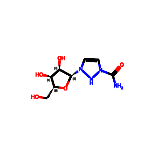 NC(=O)N1C=CN([C@@H]2O[C@H](CO)[C@@H](O)[C@H]2O)N1